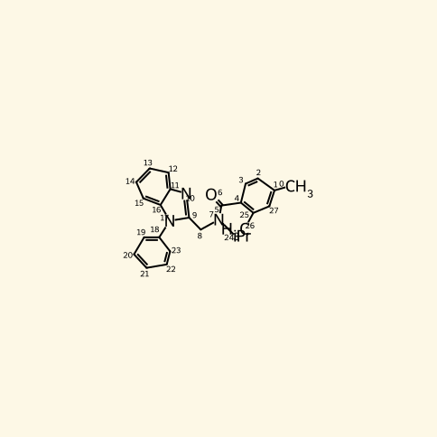 Cc1ccc(C(=O)N(Cc2nc3ccccc3n2-c2ccccc2)C(C)C)c(C)c1